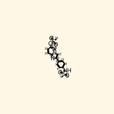 CS(=O)(=O)Nc1ccc(-c2cn3nc(OS(C)(=O)=O)ccc3n2)cc1